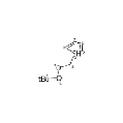 CC(C)(C)OOC[SH]1C=CC=C1